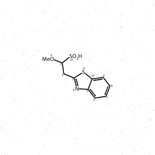 COC(Cc1nc2ccccc2s1)S(=O)(=O)O